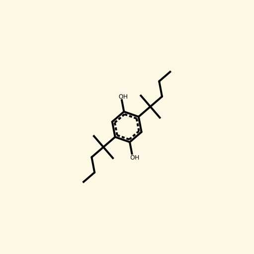 CCCC(C)(C)c1cc(O)c(C(C)(C)CCC)cc1O